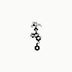 CN(C(=O)O)C1CN(c2nc3ncc(OCc4ccccc4)cc3n3cnnc23)C1